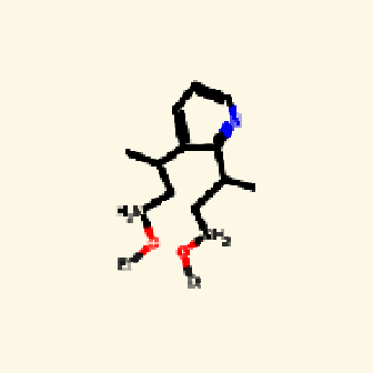 CCO[SiH2]CC(C)c1cccnc1C(C)C[SiH2]OCC